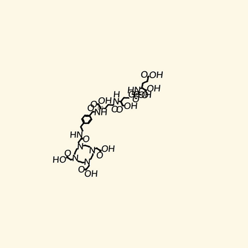 O=C(O)CCC(NP(=O)(O)OCCC(NC(=O)CC[C@@H](NC(=O)c1ccc(CCNC(=O)CN2CCN(CC(=O)O)CCN(CC(=O)O)CCN(CC(=O)O)CC2)cc1)C(=O)O)C(=O)O)C(=O)O